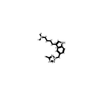 Cc1nnn(Cc2ccc3[nH]cc(CCCCN(C)C)c3c2)n1